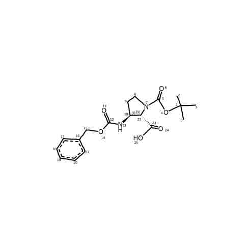 CC(C)(C)OC(=O)N1CC[C@H](NC(=O)OCc2ccccc2)[C@H]1C(=O)O